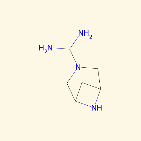 NC(N)N1CC2CC(C1)N2